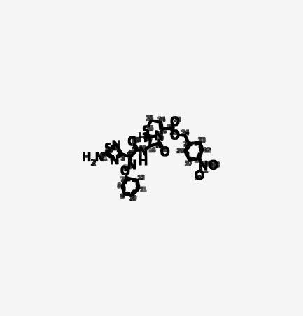 Nc1nc(C(=NOc2ccccc2)C(=O)NC2C(=O)N3C(C(=O)OCc4ccc([N+](=O)[O-])cc4)=CCS[C@@H]23)ns1